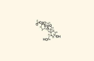 CC(=O)O[C@@H]1CCC[C@@]2(C)[C@H]1CCC21OCC([C@@]2(C)CC[C@H](O)C[C@@H]2CCO)O1